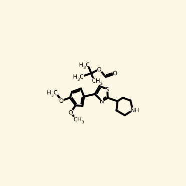 CC(C)(C)OC=O.COc1ccc(-c2csc(C3CCNCC3)n2)cc1OC